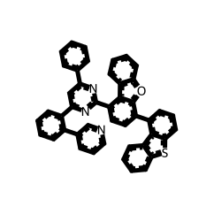 c1ccc(-c2cc(-c3ccccc3-c3cccnc3)nc(-c3ccc(-c4cccc5sc6ccccc6c45)c4oc5ccccc5c34)n2)cc1